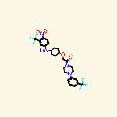 O=C(CO[C@H]1CC[C@H](Nc2ccc([N+](=O)[O-])c(C(F)(F)F)c2)CC1)N1CCN(c2cccc(C(F)(F)F)c2)CC1